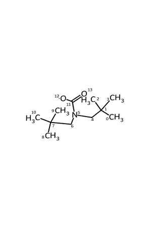 CC(C)(C)CN(CC(C)(C)C)C([O])=O